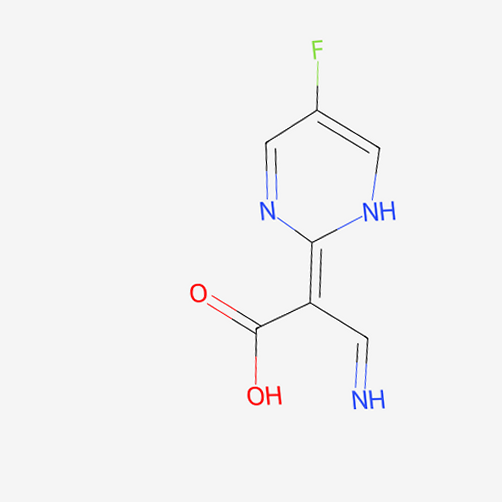 N=C/C(C(=O)O)=C1/N=CC(F)=CN1